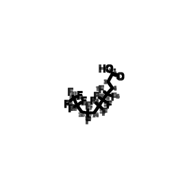 O=C(O)CCC(F)(F)C(F)(F)C(F)(F)CC(F)(F)CC(F)(F)C(F)(F)F